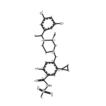 CC(c1cc(Cl)cc(Cl)c1)N1CCN(Cc2cc(F)c(C(=O)NS(C)(=O)=O)cc2C2CC2)C[C@@H]1C